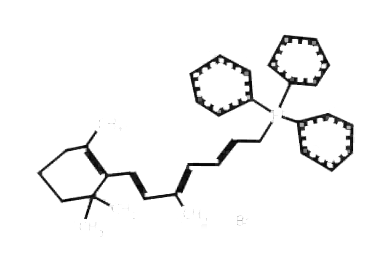 CC(C=CC1=C(C)CCCC1(C)C)=CC=CC[P+](c1ccccc1)(c1ccccc1)c1ccccc1.[Br-]